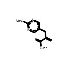 C=C(Cc1cnc(OC)nc1)C(=O)OC